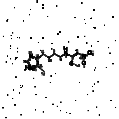 CSC(=C[N+](=O)[O-])NCCCCc1nc[nH]c1C